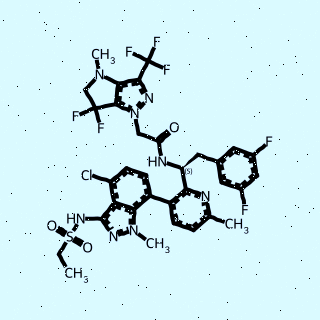 CCS(=O)(=O)Nc1nn(C)c2c(-c3ccc(C)nc3[C@H](Cc3cc(F)cc(F)c3)NC(=O)Cn3nc(C(F)(F)F)c4c3C(F)(F)CN4C)ccc(Cl)c12